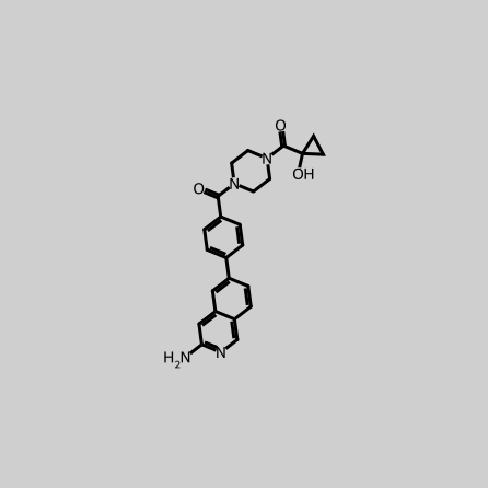 Nc1cc2cc(-c3ccc(C(=O)N4CCN(C(=O)C5(O)CC5)CC4)cc3)ccc2cn1